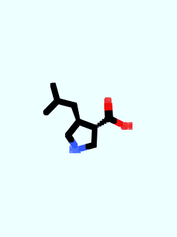 CC(C)C[C@@H]1CNC[C@H]1C(=O)O